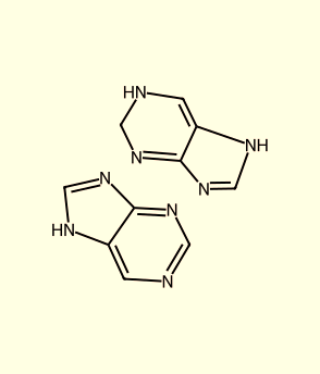 C1=c2[nH]cnc2=NCN1.c1ncc2[nH]cnc2n1